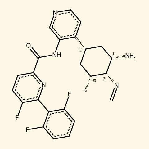 C=N[C@@H]1[C@H](C)C[C@H](c2ccncc2NC(=O)c2ccc(F)c(-c3c(F)cccc3F)n2)C[C@@H]1N